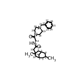 CC1CC2CC(C1)CC(C)(CC(=O)NCC(=O)N1CCN(Cc3ccccc3)CC1)C2